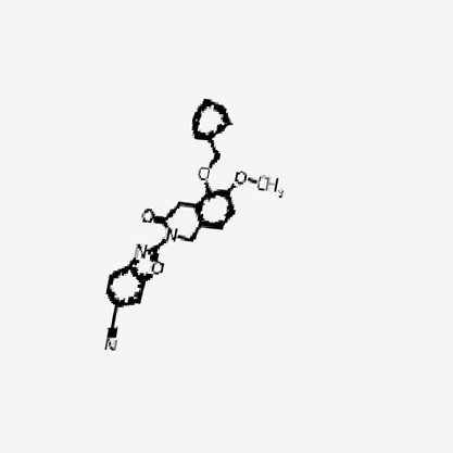 COc1ccc2c(c1OCc1ccccc1)CC(=O)N(c1nc3ccc(C#N)cc3o1)C2